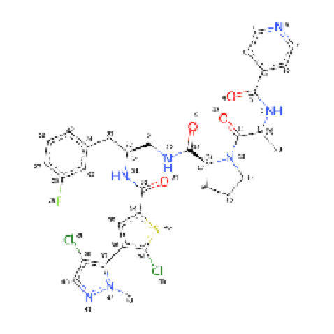 C[C@@H](NC(=O)c1ccncc1)C(=O)N1CCC[C@H]1C(=O)NC[C@H](Cc1cccc(F)c1)NC(=O)c1cc(-c2c(Cl)cnn2C)c(Cl)s1